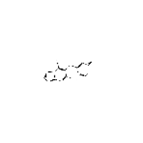 C=C/C=C(Cc1c(C)nc2ncnn2c1N)\N=C/C